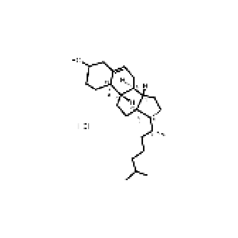 CC(C)CCC[C@@H](C)[C@H]1CC[C@H]2[C@@H]3CC=C4CC(O)CC[C@]4(C)[C@H]3CC[C@]12C.Cl